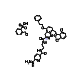 N/N=C(\Cc1nc(CSc2c(Cl)cccc2Cl)ccc1OCCc1ccccc1)C(=O)NCCNC(=O)c1ccc(NN)nc1.O=Cc1ccccc1S(=O)(=O)O